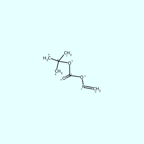 C=NOC(=O)OC(C)(C)C